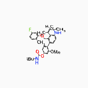 CCC(C)NC(=O)Oc1ccc(-c2ccc3c(c2COc2cc(F)ccc2C)C(C)=CC(C)(C)N3)c(OC)c1